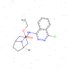 CCOC(=O)N1C2CC[C@@H]1CC(Nc1nnc(Cl)c3ccccc13)C2